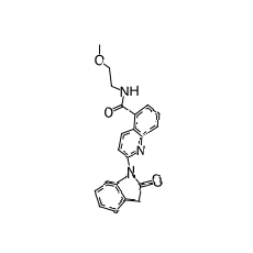 COCCNC(=O)c1cccc2nc(N3C(=O)Cc4ccccc43)ccc12